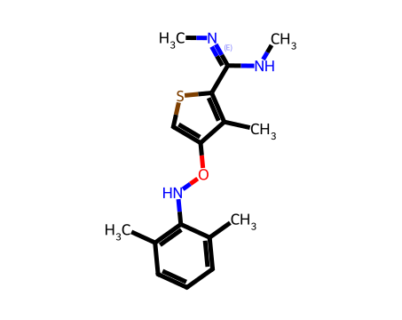 C/N=C(/NC)c1scc(ONc2c(C)cccc2C)c1C